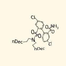 CCCCCCCCCCCCN(CCCCCCCCCCCC)S(=O)(=O)c1cc(Cl)ccc1-c1ccc(Cl)cc1S(N)(=O)=O